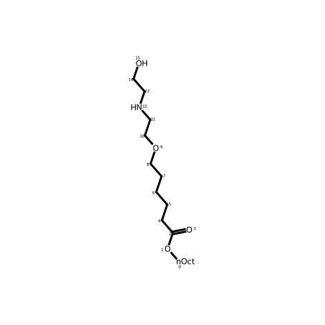 CCCCCCCCOC(=O)CCCCCOCCNCCO